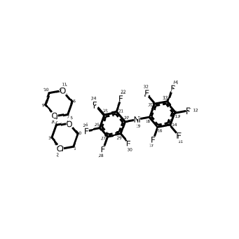 C1COCCO1.C1COCCO1.Fc1c(F)c(F)[c]([Ni][c]2c(F)c(F)c(F)c(F)c2F)c(F)c1F